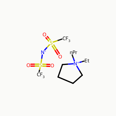 CCC[N+]1(CC)CCCC1.O=S(=O)([N-]S(=O)(=O)C(F)(F)F)C(F)(F)F